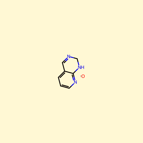 C1=NCNc2ncccc21.[O]